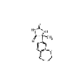 CC1(c2ccc3c(c2)OCCCO3)NC(=O)NC1=O